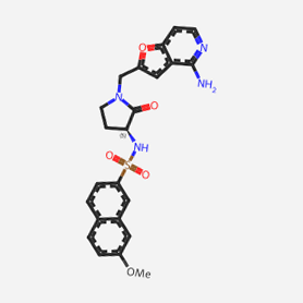 COc1ccc2ccc(S(=O)(=O)N[C@H]3CCN(Cc4cc5c(N)nccc5o4)C3=O)cc2c1